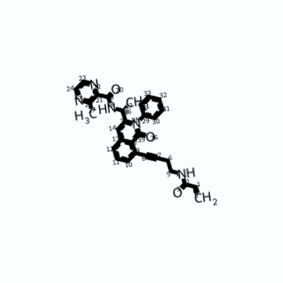 C=CC(=O)NCCC#Cc1cccc2cc([C@H](C)NC(=O)c3nccnc3C)n(-c3ccccc3)c(=O)c12